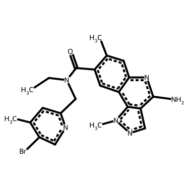 CCN(Cc1cc(C)c(Br)cn1)C(=O)c1cc2c(cc1C)nc(N)c1cnn(C)c12